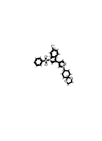 O=S(=O)(c1ccccc1)n1cc(-c2cnn(C3CCC4(CC3)OCCO4)c2)c2ccc(F)cc21